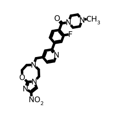 CN1CCN(C(=O)c2ccc(-c3cc(CN4CCOc5nc([N+](=O)[O-])cn5CC4)ccn3)cc2F)CC1